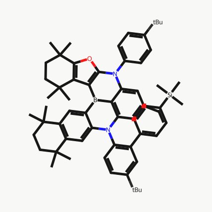 Cc1cc2c3c(c1)N(c1ccc(C(C)(C)C)cc1)c1oc4c(c1B3c1cc3c(cc1N2c1ccc(C(C)(C)C)cc1-c1ccc([Si](C)(C)C)cc1)C(C)(C)CCC3(C)C)C(C)(C)CCC4(C)C